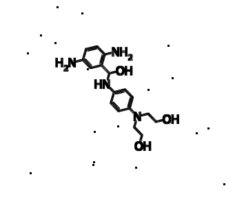 Nc1ccc(N)c(C(O)Nc2ccc(N(CCO)CCO)cc2)c1